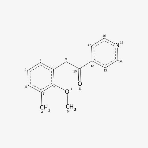 COc1c(C)cccc1CC(=O)c1ccncc1